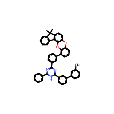 CC1(C)c2ccccc2-c2c1ccc1c2Oc2c(cccc2-c2cccc(C3=NC(c4ccccc4)NC(c4cccc(-c5cccc(C#N)c5)c4)=N3)c2)O1